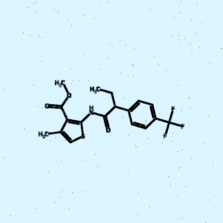 CCC(C(=O)Nc1scc(C)c1C(=O)OC)c1ccc(C(F)(F)F)cc1